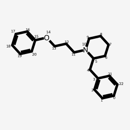 c1ccc(CC2CCCCN2CCCOc2ccccc2)cc1